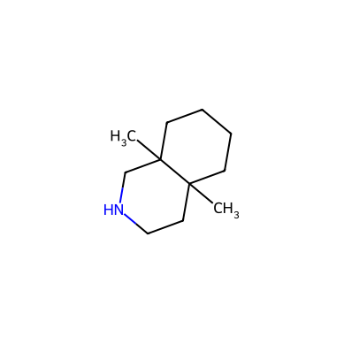 CC12CCCCC1(C)CNCC2